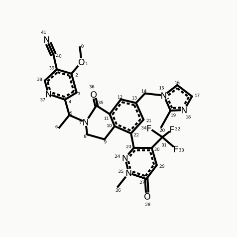 COc1cc(C(C)N2CCc3c(cc(Cn4ccnc4C)cc3-c3nn(C)c(=O)cc3C(F)(F)F)C2=O)ncc1C#N